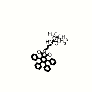 CC(C)(C)OC(=O)NCCCCN1C(=O)c2c(c(-c3ccccc3)c(-c3ccccc3)c(-c3ccccc3)c2-c2ccccc2)C1=O